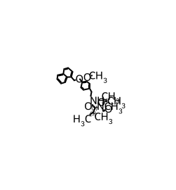 CC[C@H](C)[C@@H](C(=O)NCCc1ccc(OCc2cccc3ccccc23)c(OC)c1)N(C=O)OC(C)(C)C